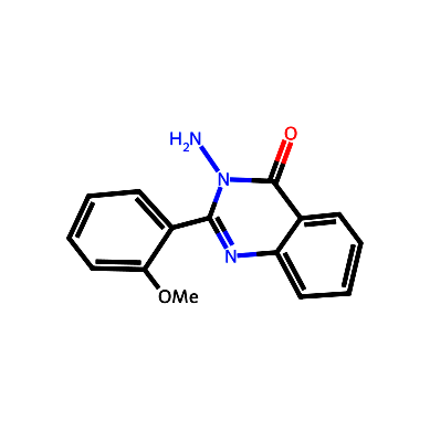 COc1ccccc1-c1nc2ccccc2c(=O)n1N